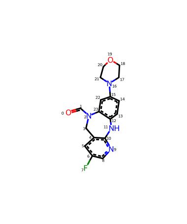 O=CN1Cc2cc(F)cnc2Nc2ccc(N3CCOCC3)cc21